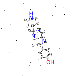 CC1=C(c2ccc(O)cc2)N=C2C=NC(C)(C3CCNCC3)N=C21